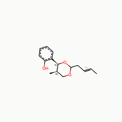 C/C=C/CC1OC[C@@H](C)[C@@H](c2ccccc2O)O1